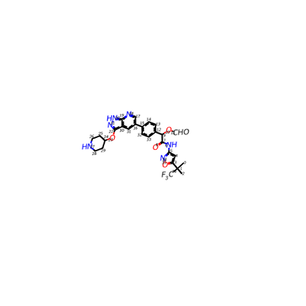 CC(C)(c1cc(NC(=O)C(OC=O)c2ccc(-c3cnc4[nH]nc(OC5CCNCC5)c4c3)cc2)no1)C(F)(F)F